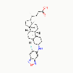 C[C@H](CCC(=O)O)C1CC[C@H]2[C@@H]3CC[C@@H]4CC(Nc5cc6nonc6cc5F)CC[C@]4(C)[C@H]3CC[C@]12C